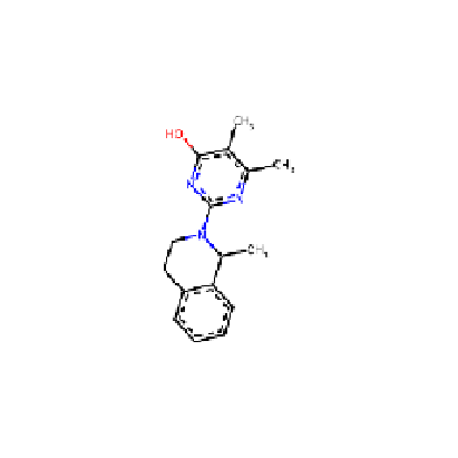 Cc1nc(N2CCc3ccccc3C2C)nc(O)c1C